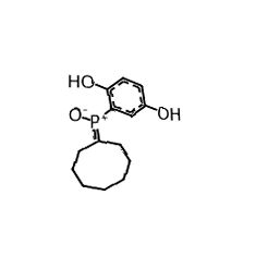 [O-][P+](=C1CCCCCCC1)c1cc(O)ccc1O